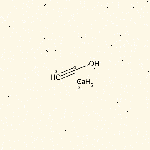 C#CO.[CaH2]